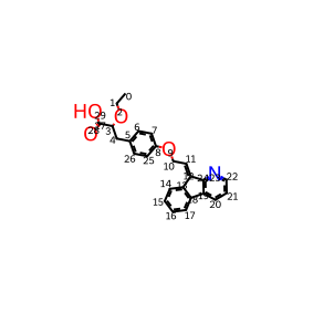 CCOC(Cc1ccc(OC/C=C2\c3ccccc3-c3cccnc32)cc1)C(=O)O